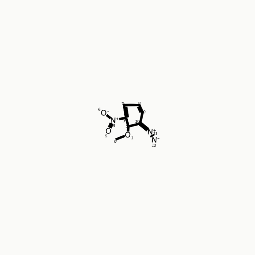 COC1C([N+](=O)[O-])=CC=[C]C1=[N+]=[N-]